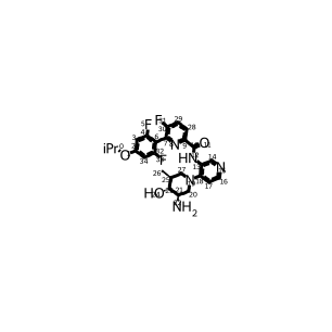 CC(C)Oc1cc(F)c(-c2nc(C(=O)Nc3cnccc3N3C[C@@H](N)[C@H](O)[C@@H](C)C3)ccc2F)c(F)c1